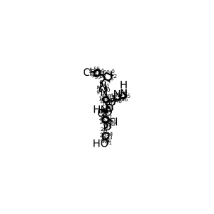 CC1(C)CCC(CN2CCN(c3ccc(C(=O)NS(=O)(=O)c4ccc(OC[C@H]5CC[C@@](C)(O)CC5)c(Cl)c4)c(Oc4cnc5[nH]ccc5c4)c3)CC2)=C(c2ccc(Cl)cc2)C1